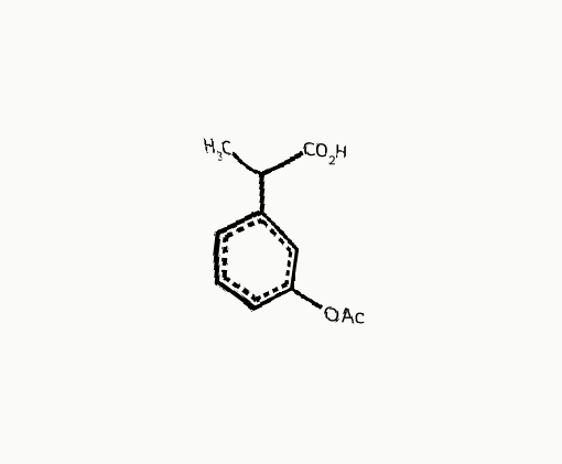 CC(=O)Oc1cccc(C(C)C(=O)O)c1